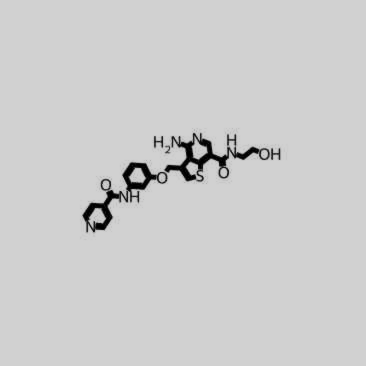 Nc1ncc(C(=O)NCCO)c2scc(COc3cccc(NC(=O)c4ccncc4)c3)c12